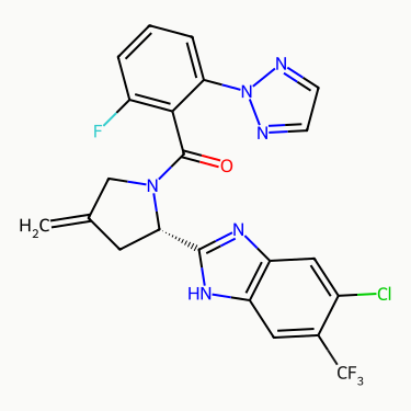 C=C1C[C@@H](c2nc3cc(Cl)c(C(F)(F)F)cc3[nH]2)N(C(=O)c2c(F)cccc2-n2nccn2)C1